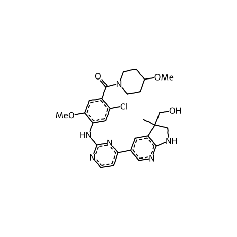 COc1cc(C(=O)N2CCC(OC)CC2)c(Cl)cc1Nc1nccc(-c2cnc3c(c2)C(C)(CO)CN3)n1